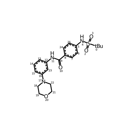 CC(C)(C)S(=O)(=O)Nc1ccc(C(=O)Nc2cccc(N3CCOCC3)c2)cc1